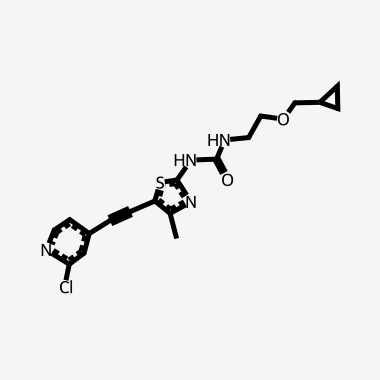 Cc1nc(NC(=O)NCCOCC2CC2)sc1C#Cc1ccnc(Cl)c1